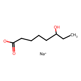 CCC(O)CCCCC(=O)[O-].[Na+]